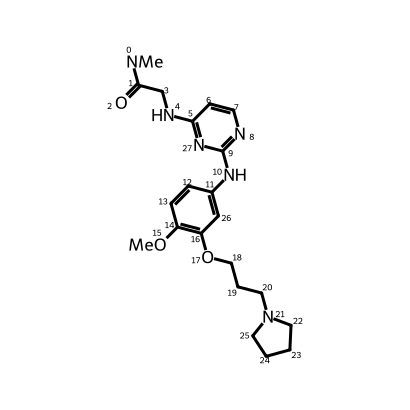 CNC(=O)CNc1ccnc(Nc2ccc(OC)c(OCCCN3CCCC3)c2)n1